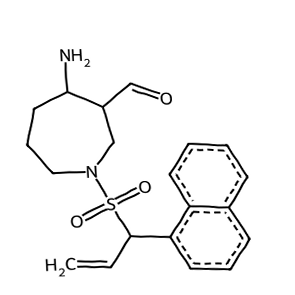 C=CC(c1cccc2ccccc12)S(=O)(=O)N1CCCC(N)C(C=O)C1